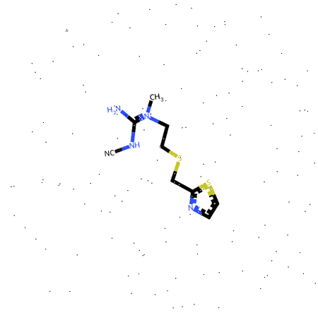 C[N+](CCSCc1nccs1)=C(N)NC#N